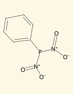 O=[N+]([O-])P(c1ccccc1)[N+](=O)[O-]